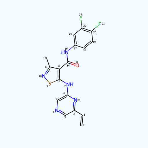 C=Cc1cncc(Nc2snc(C)c2C(=O)Nc2ccc(F)c(F)c2)n1